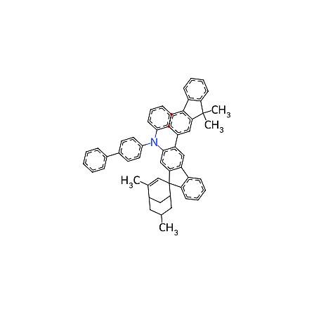 CC1=CC2(c3ccccc3-c3cc(-c4ccc5c(c4)C(C)(C)c4ccccc4-5)c(N(c4ccccc4)c4ccc(-c5ccccc5)cc4)cc32)C2CC(C)CC1C2